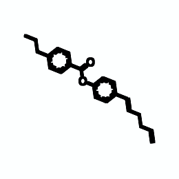 C=CCCC=Cc1ccc(OC(=O)c2ccc(CCC)cc2)cc1